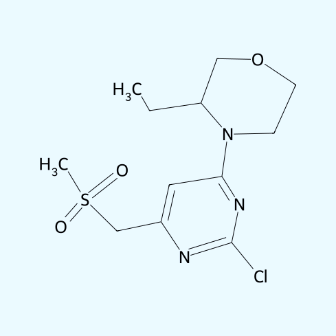 CCC1COCCN1c1cc(CS(C)(=O)=O)nc(Cl)n1